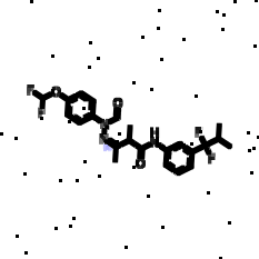 C/C(=N/N(C=O)c1ccc(OC(F)F)cc1)C(C)C(=O)Nc1cccc(C(F)(F)C(C)C)c1